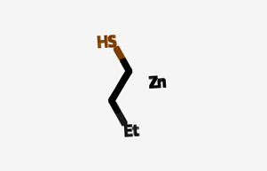 CCCCS.[Zn]